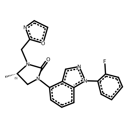 C[C@H]1CN(c2cccc3c2cnn3-c2ccccc2F)C(=O)N1Cc1ncco1